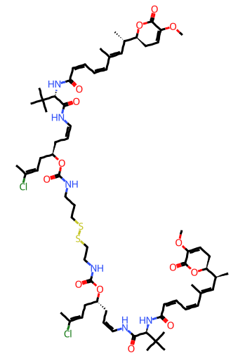 COC1=CC[C@@H]([C@@H](C)/C=C(C)/C=C\C=C/C(=O)N[C@H](C(=O)N/C=C\C[C@H](C/C=C(\C)Cl)OC(=O)NCCCSSCCNC(=O)O[C@H](C/C=C\NC(=O)[C@@H](NC(=O)\C=C/C=C\C(C)=C\[C@H](C)[C@@H]2CC=C(OC)C(=O)O2)C(C)(C)C)C/C=C(\C)Cl)C(C)(C)C)OC1=O